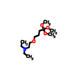 CCN(CC)CCOCCC[Si](OC)(OC)OC